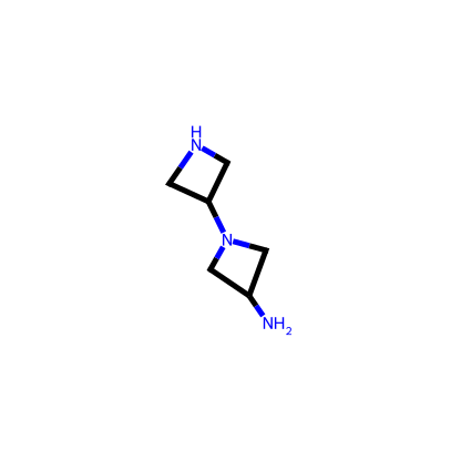 NC1CN(C2CNC2)C1